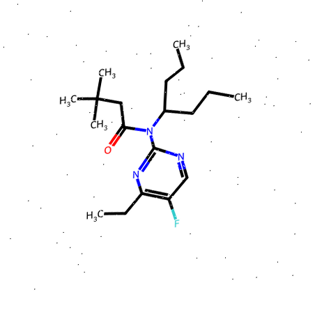 CCCC(CCC)N(C(=O)CC(C)(C)C)c1ncc(F)c(CC)n1